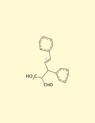 O=CC(C(=O)O)C(/C=C/c1ccccc1)c1ccccc1